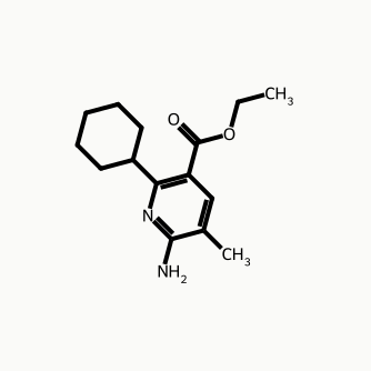 CCOC(=O)c1cc(C)c(N)nc1C1CCCCC1